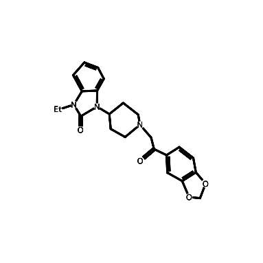 CCn1c(=O)n(C2CCN(CC(=O)c3ccc4c(c3)OCO4)CC2)c2ccccc21